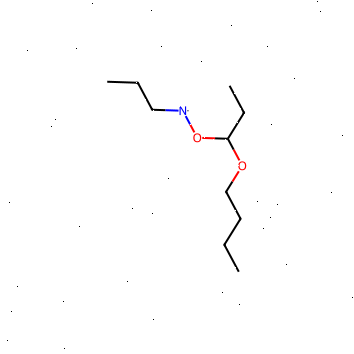 CCCCOC(CC)O[N]CCC